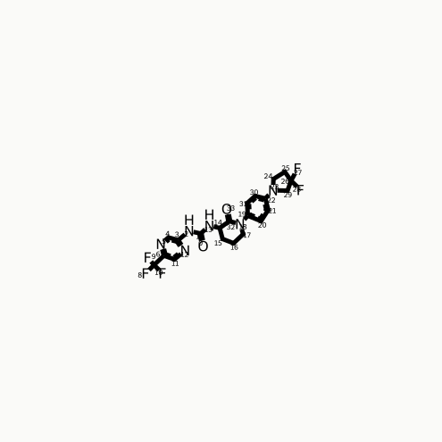 O=C(Nc1cnc(C(F)(F)F)cn1)NC1CCCN(c2ccc(N3CCC(F)(F)C3)cc2)C1=O